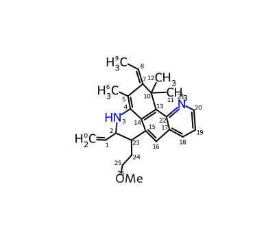 C=CC1NC2=C(C)/C(=C\C)C(C)(C)c3c2c(cc2cccnc32)C1CCOC